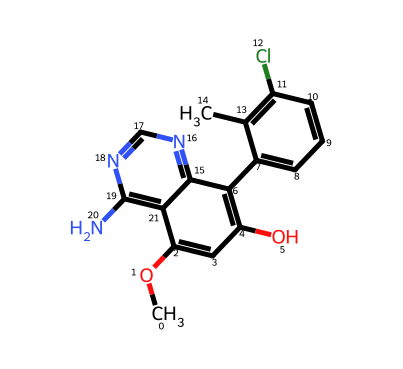 COc1cc(O)c(-c2cccc(Cl)c2C)c2ncnc(N)c12